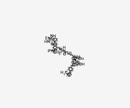 CCN(C=N)C(=N)c1cccc(N2Cc3c(cc(N(C)C(C)C)nc3CNCCNC(=O)CCOCCC(=O)N[C@H](C(=O)N3C[C@H](O)C[C@H]3C(=O)NCc3ccc(-c4scnc4C)cc3)C(C)(C)C)C2=O)n1